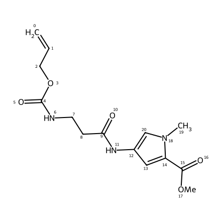 C=CCOC(=O)NCCC(=O)Nc1cc(C(=O)OC)n(C)c1